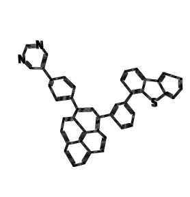 c1cc(-c2cc(-c3ccc(-c4cncnc4)cc3)c3ccc4cccc5ccc2c3c45)cc(-c2cccc3c2sc2ccccc23)c1